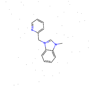 Cn1c[n+](Cc2ccccn2)c2ccccc21